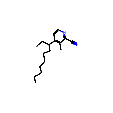 CCCCCCCC(CC)c1ccnc(C#N)c1C